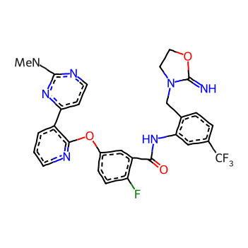 CNc1nccc(-c2cccnc2Oc2ccc(F)c(C(=O)Nc3cc(C(F)(F)F)ccc3CN3CCOC3=N)c2)n1